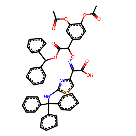 CC(=O)Oc1ccc(C(ON=C(C(=O)O)c2csc(NC(c3ccccc3)(c3ccccc3)c3ccccc3)n2)C(=O)OC(c2ccccc2)c2ccccc2)cc1OC(C)=O